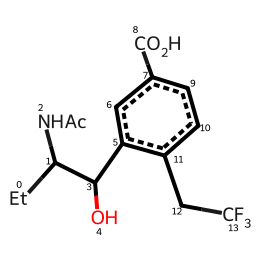 CCC(NC(C)=O)C(O)c1cc(C(=O)O)ccc1CC(F)(F)F